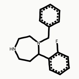 Fc1ccccc1C1CCNCCN1Cc1ccccc1